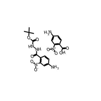 CC(C)(C)OC(=O)NNC(=O)c1ccc(N)cc1[N+](=O)[O-].Nc1ccc(C(=O)O)c([N+](=O)[O-])c1